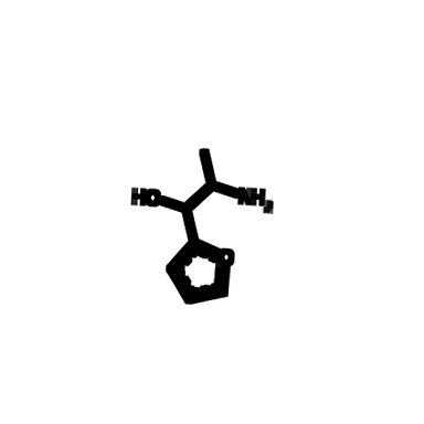 CC(N)C(O)c1ccco1